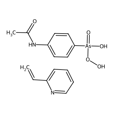 C=Cc1ccccn1.CC(=O)Nc1ccc([As](=O)(O)OO)cc1